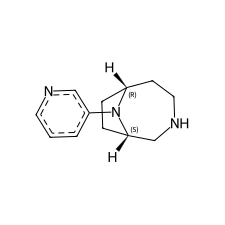 c1cncc(N2[C@H]3CCNC[C@@H]2CC3)c1